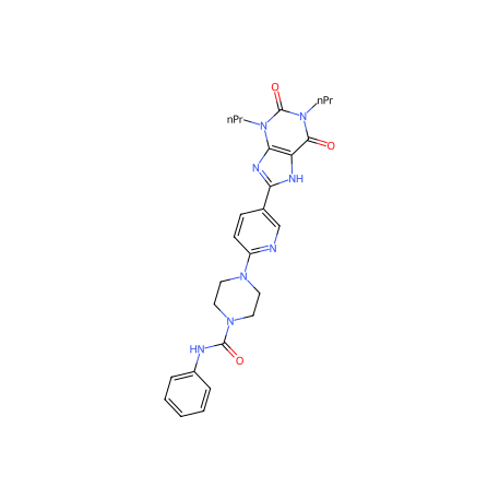 CCCn1c(=O)c2[nH]c(-c3ccc(N4CCN(C(=O)Nc5ccccc5)CC4)nc3)nc2n(CCC)c1=O